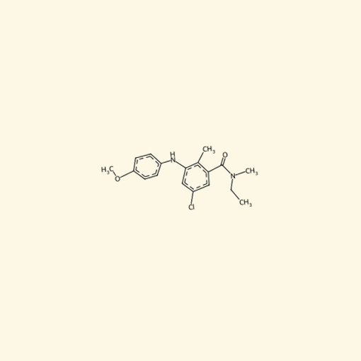 CCN(C)C(=O)c1cc(Cl)cc(Nc2ccc(OC)cc2)c1C